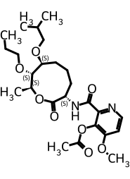 CCCO[C@H]1[C@H](C)OC(=O)[C@@H](NC(=O)c2nccc(OC)c2OC(C)=O)CCC[C@@H]1OCC(C)C